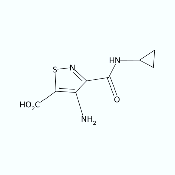 Nc1c(C(=O)NC2CC2)nsc1C(=O)O